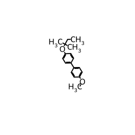 CCC(C)(C)Oc1ccc(-c2ccc(OC)cc2)cc1